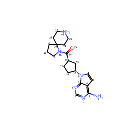 Nc1ncnc2c1ccn2[C@H]1CC[C@@H](C(=O)N2CCCC23CCNCC3)C1